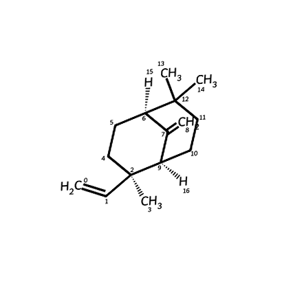 C=C[C@@]1(C)CC[C@@H]2C(=C)[C@H]1CCC2(C)C